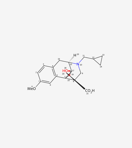 COc1ccc2c(c1)C13CCN(CC4CC4)[C@H](C2)[C@]1(O)C[C@H](C(=O)O)C3